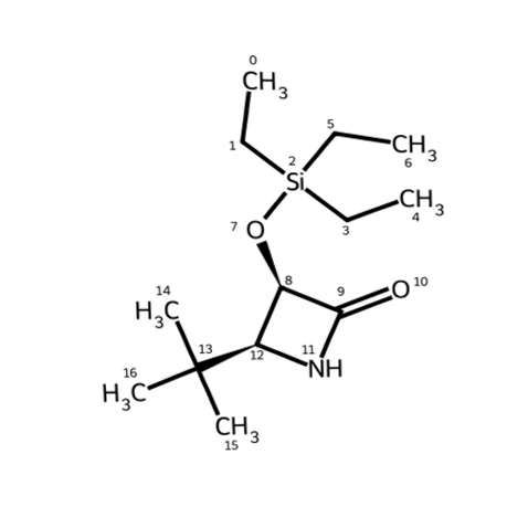 CC[Si](CC)(CC)O[C@H]1C(=O)N[C@H]1C(C)(C)C